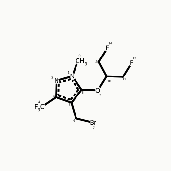 Cn1nc(C(F)(F)F)c(CBr)c1OC(CF)CF